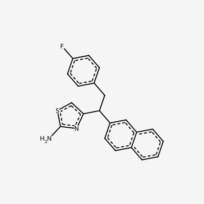 Nc1nc(C(Cc2ccc(F)cc2)c2ccc3ccccc3c2)cs1